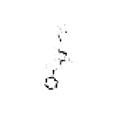 Cn1cc(OCC[Si](C)(C)C)nc1OC(=O)c1ccccc1